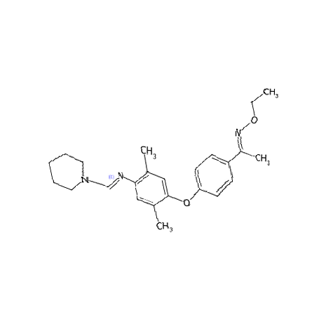 CCON=C(C)c1ccc(Oc2cc(C)c(/N=C/N3CCCCC3)cc2C)cc1